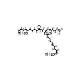 CCCCCC/C=C\CCCCCCCC(=O)OC[C@H](COCCCN(C)C)OC(=O)CCCCCCC/C=C\CCCCCC